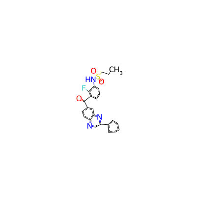 CCCS(=O)(=O)Nc1cccc(C(=O)c2ccc3ncc(-c4ccccc4)nc3c2)c1F